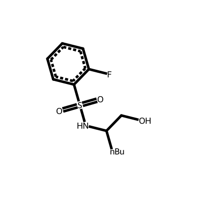 CCCCC(CO)NS(=O)(=O)c1ccccc1F